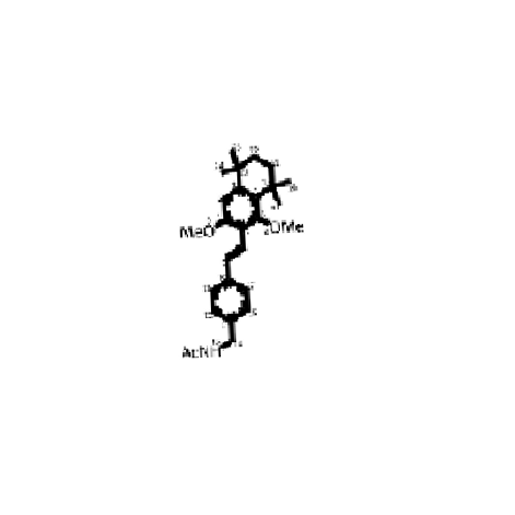 COc1cc2c(c(OC)c1C=Cc1ccc(CNC(C)=O)cc1)C(C)(C)CCC2(C)C